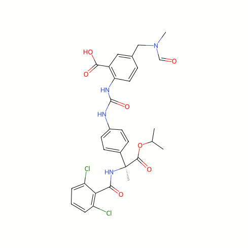 CC(C)OC(=O)[C@@](C)(NC(=O)c1c(Cl)cccc1Cl)c1ccc(NC(=O)Nc2ccc(CN(C)C=O)cc2C(=O)O)cc1